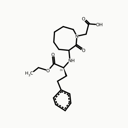 CCOC(=O)[C@H](CCc1ccccc1)NC1CCCCCN(CC(=O)O)C1=O